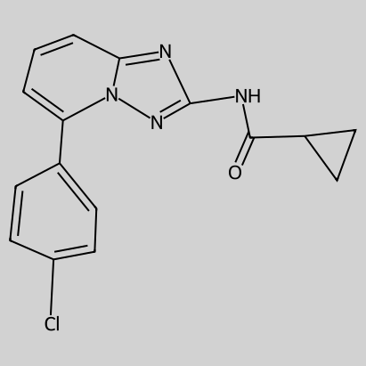 O=C(Nc1nc2cccc(-c3ccc(Cl)cc3)n2n1)C1CC1